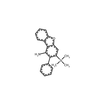 C[Si](C)(C)c1cc2oc3ccccc3c2c(N)c1-c1ccccc1